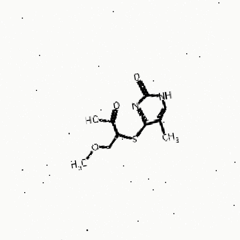 COCC(Sc1nc(=O)[nH]cc1C)C(=O)O